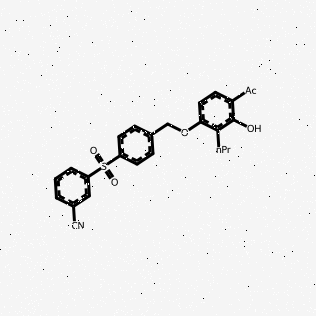 CCCc1c(OCc2ccc(S(=O)(=O)c3cccc(C#N)c3)cc2)ccc(C(C)=O)c1O